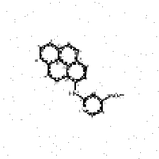 CCCCCCCCc1ccnc(Nc2ccc3ccc4cccc5ccc2c3c45)c1